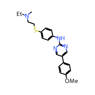 CCN(C)CCSc1ccc(Nc2ncc(-c3ccc(OC)cc3)cn2)cc1